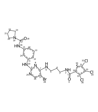 O=C(NCCCNc1nc(Nc2cccc(NC(=O)N3CCCC3)c2)ncc1Br)c1sc(Cl)c(Cl)c1Cl